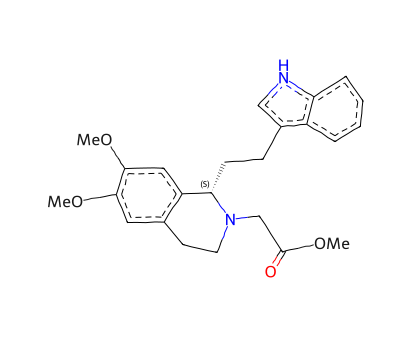 COC(=O)CN1CCc2cc(OC)c(OC)cc2[C@@H]1CCc1c[nH]c2ccccc12